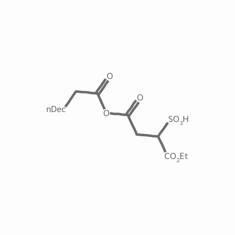 CCCCCCCCCCCC(=O)OC(=O)CC(C(=O)OCC)S(=O)(=O)O